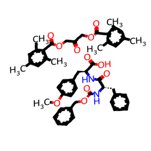 COc1ccc(C[C@H](NC(=O)[C@H](Cc2ccccc2)NC(=O)OCc2ccccc2)C(=O)O)cc1.Cc1cc(C)c(C(=O)OCC(=O)COC(=O)c2c(C)cc(C)cc2C)c(C)c1